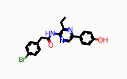 CCc1nc(-c2ccc(O)cc2)cnc1NC(=O)Cc1ccc(Br)cc1